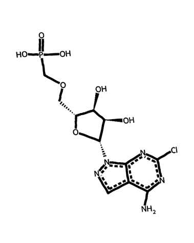 Nc1nc(Cl)nc2c1cnn2[C@@H]1O[C@H](COCP(=O)(O)O)[C@@H](O)[C@H]1O